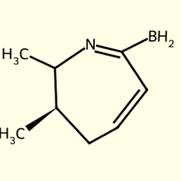 BC1=NC(C)[C@H](C)CC=C1